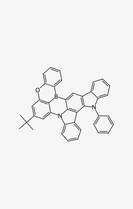 CC(C)(C)c1cc2c3c(c1)-n1c4ccccc4c4c1c(cc1c5ccccc5n(-c5ccccc5)c14)B3c1ccccc1O2